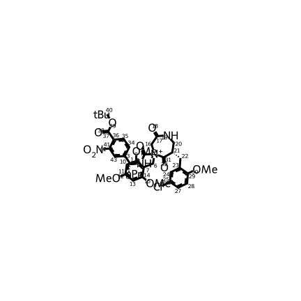 CCC[C@@H](NC(=O)[N+]1(Cc2c(OC)cc(OC)cc2OC)CC(=O)NC[C@H](Cc2cc(Cl)ccc2OC)C1=O)c1ccc(C(=O)OC(C)(C)C)c([N+](=O)[O-])c1